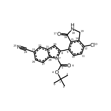 CC(C)(C)OC(=O)n1c(-c2ccc(Cl)c3c2C(=O)NC3)cc2cc(C#N)ccc21